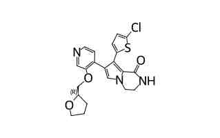 O=C1NCCn2cc(-c3ccncc3OC[C@H]3CCCO3)c(-c3ccc(Cl)s3)c21